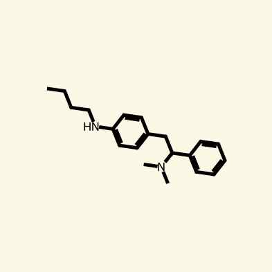 CCCCNc1ccc(C[C](c2ccccc2)N(C)C)cc1